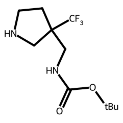 CC(C)(C)OC(=O)NCC1(C(F)(F)F)CCNC1